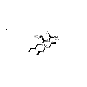 C=CCOCC=C.CCCCNC(=N)NC(=N)N.Cl